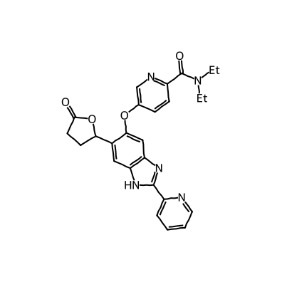 CCN(CC)C(=O)c1ccc(Oc2cc3nc(-c4ccccn4)[nH]c3cc2C2CCC(=O)O2)cn1